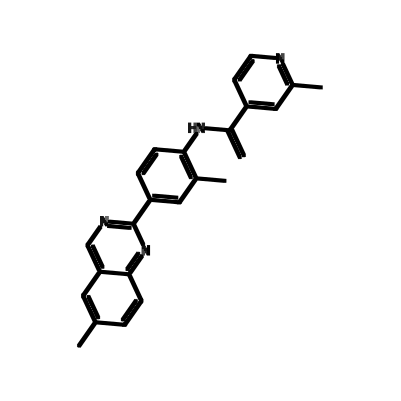 C=C(Nc1ccc(-c2ncc3cc(C)ccc3n2)cc1C)c1ccnc(C)c1